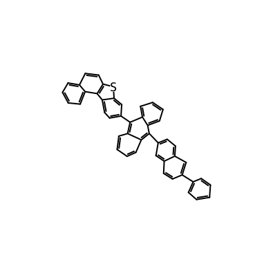 c1ccc(-c2ccc3cc(-c4c5ccccc5c(-c5ccc6c(c5)sc5ccc7ccccc7c56)c5ccccc45)ccc3c2)cc1